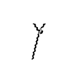 CCCCCCCCCCCCCCC[n+]1ccn(CCCC)c1CCCCC